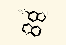 O=[N+]([O-])c1ccc2c(c1)NCC2.c1ccc2ncccc2c1